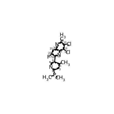 Cc1cc(P(C)C)ncc1-c1nc2c(Cl)c(Cl)c(C)nc2cc1F